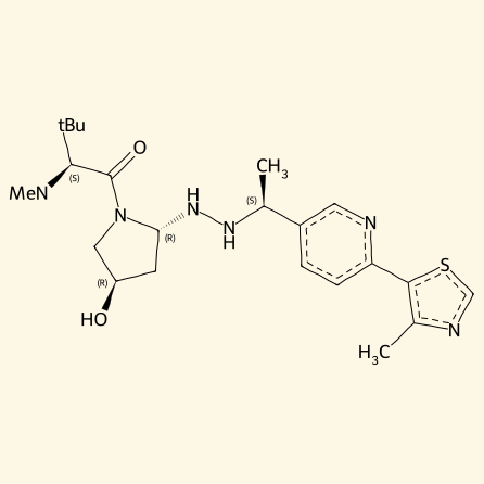 CN[C@H](C(=O)N1C[C@H](O)C[C@H]1NN[C@@H](C)c1ccc(-c2scnc2C)nc1)C(C)(C)C